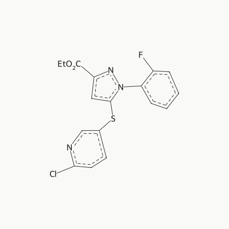 CCOC(=O)c1cc(Sc2ccc(Cl)nc2)n(-c2ccccc2F)n1